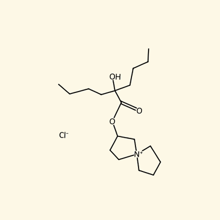 CCCCC(O)(CCCC)C(=O)OC1CC[N+]2(CCCC2)C1.[Cl-]